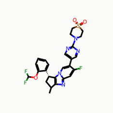 CC1C[C@H](c2ccccc2OC(F)F)c2c1nc1cc(F)c(-c3cnc(N4CCS(=O)(=O)CC4)nc3)cn21